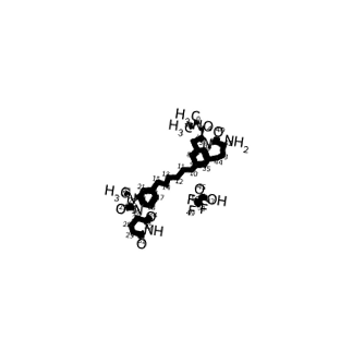 CN(C)C(=O)[C@@H]1Cc2cc(CCCCCCc3ccc4c(c3)n(C)c(=O)n4C3CCC(=O)NC3=O)cc3c2N1C(=O)[C@@H](N)CC3.O=C(O)C(F)(F)F